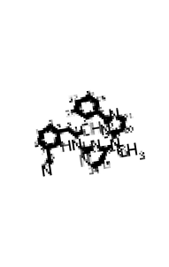 CC(Cc1cccc(C#N)c1)Nc1nccc(N(C)c2ccnc(-c3ccccc3)n2)n1